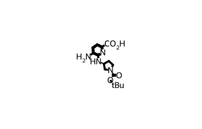 CC(C)(C)OC(=O)N1CC[C@H](Nc2nc(C(=O)O)ccc2N)C1